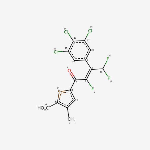 Cc1cc(C(=O)/C(F)=C(\c2cc(Cl)c(Cl)c(Cl)c2)C(F)F)sc1C(=O)O